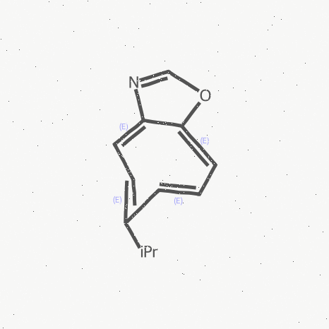 CC(C)C1=C\C=c2\nco\c2=C\C=C\1